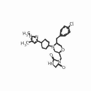 Cc1cc(C2CCC(N3CC(CN4C(=O)CNC4=O)OCC3Cc3ccc(Cl)cc3)CC2)nn1C